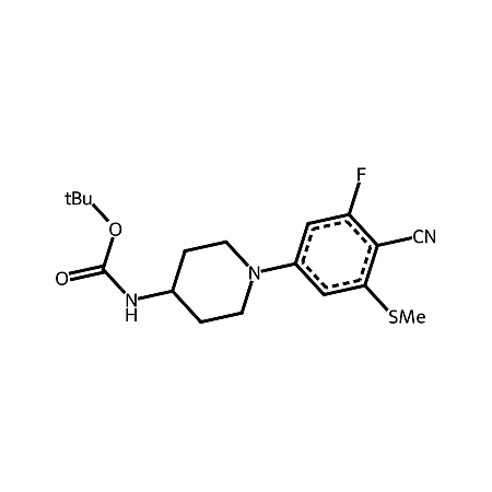 CSc1cc(N2CCC(NC(=O)OC(C)(C)C)CC2)cc(F)c1C#N